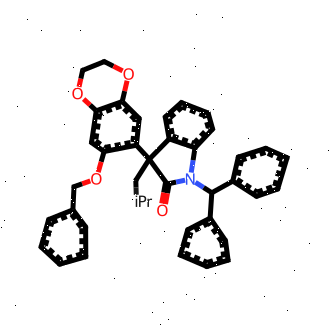 CC(C)CC1(c2cc3c(cc2OCc2ccccc2)OCCO3)C(=O)N(C(c2ccccc2)c2ccccc2)c2ccccc21